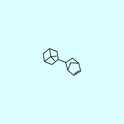 CC1(C)C2CC(C3CC4C=CC3C4)CC1C2